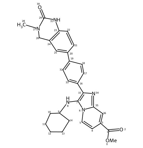 COC(=O)c1ccn2c(NC3CCCCC3)c(-c3ccc(-c4ccc5c(c4)CN(C)C(=O)N5)cc3)nc2c1